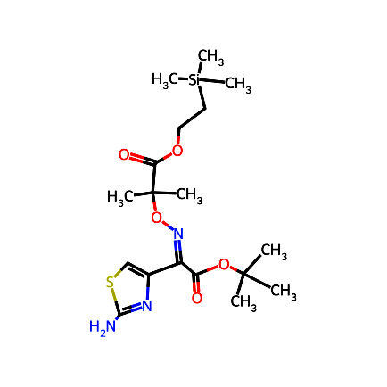 CC(C)(C)OC(=O)/C(=N/OC(C)(C)C(=O)OCC[Si](C)(C)C)c1csc(N)n1